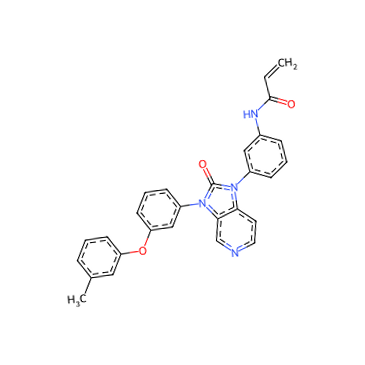 C=CC(=O)Nc1cccc(-n2c(=O)n(-c3cccc(Oc4cccc(C)c4)c3)c3cnccc32)c1